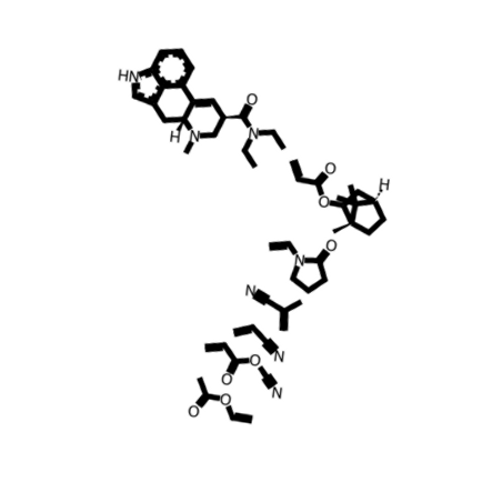 C=C(C)C#N.C=CC#N.C=CC(=O)OC#N.C=CC(=O)OC1C[C@H]2CC[C@@]1(C)C2(C)C.C=CN1CCCC1=O.C=COC(C)=O.CCN(CC)C(=O)[C@@H]1C=C2c3cccc4[nH]cc(c34)C[C@H]2N(C)C1